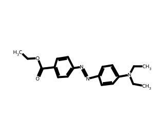 CCOC(=O)c1ccc(N=Nc2ccc(N(CC)CC)cc2)cc1